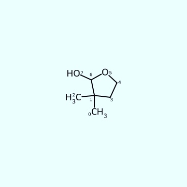 CC1(C)CCOC1O